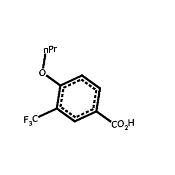 CCCOc1ccc(C(=O)O)cc1C(F)(F)F